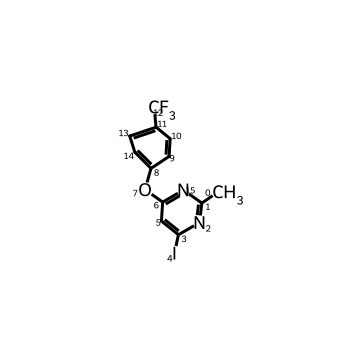 Cc1nc(I)cc(Oc2ccc(C(F)(F)F)cc2)n1